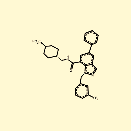 O=C(NC[C@H]1CC[C@H](C(=O)O)CC1)c1cc(-c2ccccc2)cc2cnn(Cc3cccc(C(F)(F)F)c3)c12